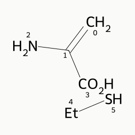 C=C(N)C(=O)O.CCS